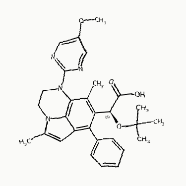 COc1cnc(N2CCn3c(C)cc4c(-c5ccccc5)c([C@H](OC(C)(C)C)C(=O)O)c(C)c2c43)nc1